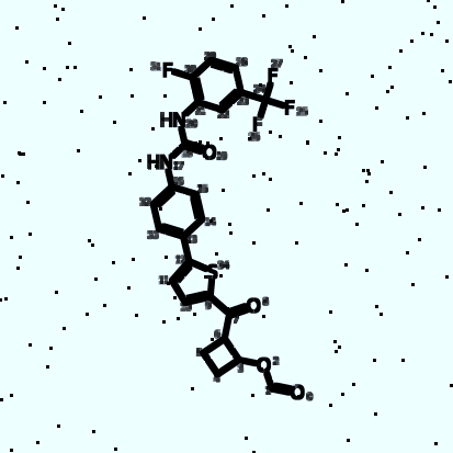 O=COC1CCC1C(=O)c1ccc(-c2ccc(NC(=O)Nc3cc(C(F)(F)F)ccc3F)cc2)s1